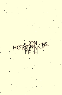 CSN1CCC(Nc2ncc(C)c(-c3sc(CO)nc3C(F)(F)F)n2)CC1